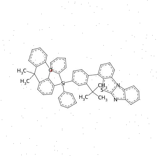 CC(C)(C)c1cc([Si](c2ccccc2)(c2ccccc2)c2cccc3c2Oc2ccccc2C3(C)C)ccc1-c1cccc2c1sc1nc3ccccc3n12